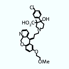 COCCOc1ccc2c(c1)/C(=C/CCN1CCC(O)(c3ccc(Cl)cc3)C(C)(C(=O)O)C1)c1cccnc1CO2